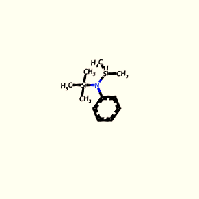 C[SiH](C)N(c1ccccc1)[Si](C)(C)C